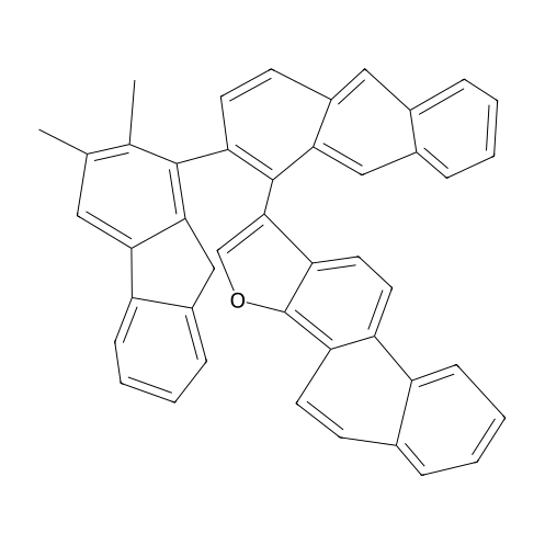 Cc1cc2c(c(-c3ccc4cc5ccccc5cc4c3-c3coc4c3ccc3c5ccccc5ccc34)c1C)Cc1ccccc1-2